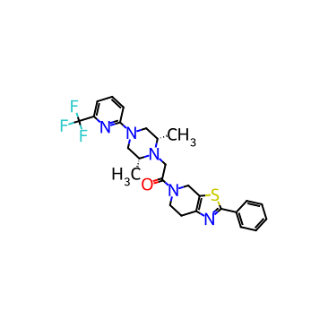 C[C@@H]1CN(c2cccc(C(F)(F)F)n2)C[C@H](C)N1CC(=O)N1CCc2nc(-c3ccccc3)sc2C1